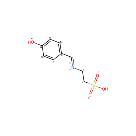 O=S(=O)(O)CC/N=C/c1ccc(O)cc1